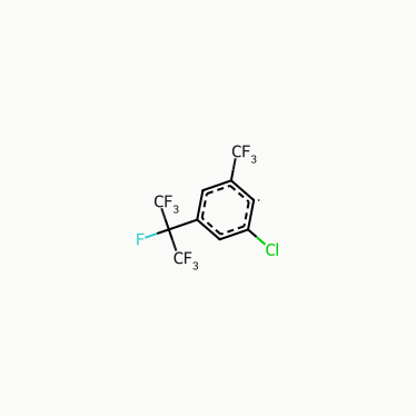 FC(F)(F)c1[c]c(Cl)cc(C(F)(C(F)(F)F)C(F)(F)F)c1